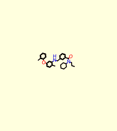 CCCN(C(=O)c1cccc(CNc2cc(Oc3ccccc3C)ccc2C)c1)C1CCCCC1